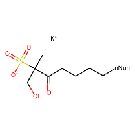 CCCCCCCCCCCCCC(=O)C(C)(CO)S(=O)(=O)[O-].[K+]